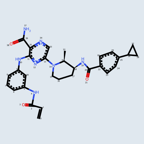 C=CC(=O)Nc1cccc(Nc2nc(N3CCC[C@H](NC(=O)c4ccc(C5CC5)cc4)[C@@H]3C)cnc2C(N)=O)c1